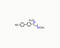 CC(=O)O/N=C(/C/C(C)=N/OC(C)=O)c1ccc(-c2ccc(C#N)cc2)cc1